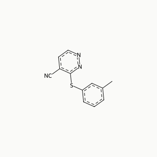 Cc1cccc(Sc2nnccc2C#N)c1